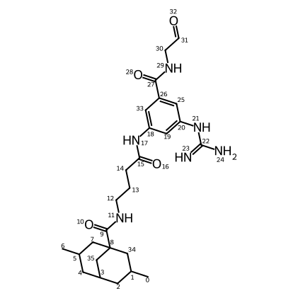 CC1CC2CC(C)CC(C(=O)NCCCC(=O)Nc3cc(NC(=N)N)cc(C(=O)NCC=O)c3)(C1)C2